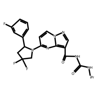 CC(C)NC(=O)NC(=O)c1cnn2ccc(N3CC(F)(F)CC3c3cccc(F)c3)nc12